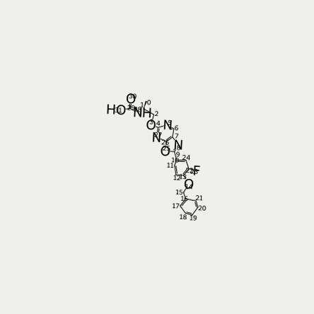 C[C@@H](COc1ncc2nc(-c3ccc(OCc4ccccc4)c(F)c3)oc2n1)NC(=O)O